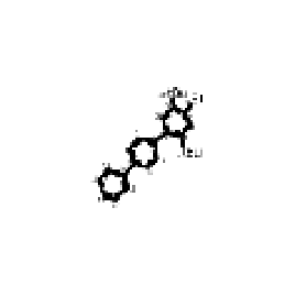 CCc1cc(C(C)(C)C)c(-c2ccc(-c3ccccc3)cc2)cc1C(C)(C)C